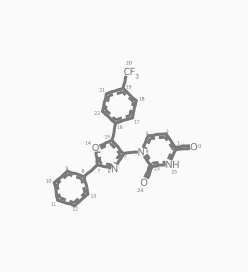 O=c1ccn(-c2nc(-c3ccccc3)oc2-c2ccc(C(F)(F)F)cc2)c(=O)[nH]1